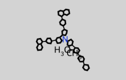 CC1(C)c2cc(-c3ccc(-c4ccccc4)cc3)ccc2-c2ccc(-n3c4ccc(-c5ccc(-c6cccc7ccccc67)cc5)cc4c4cc(-c5ccc(-c6cccc7ccccc67)cc5)ccc43)cc21